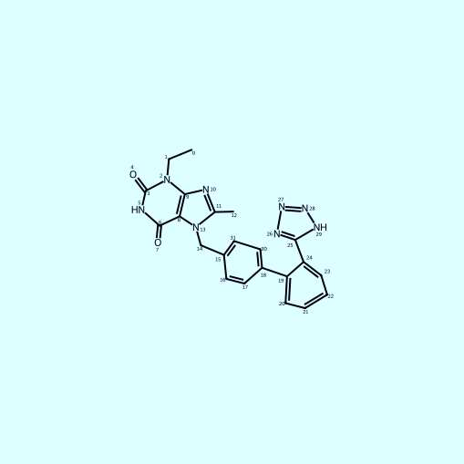 CCn1c(=O)[nH]c(=O)c2c1nc(C)n2Cc1ccc(-c2ccccc2-c2nnn[nH]2)cc1